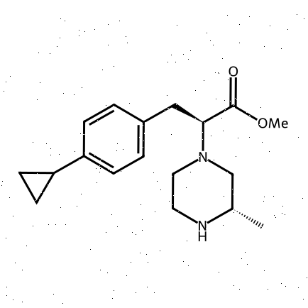 COC(=O)[C@H](Cc1ccc(C2CC2)cc1)N1CCN[C@@H](C)C1